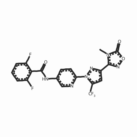 Cn1c(-c2cc(C(F)(F)F)n(-c3ccc(NC(=O)c4c(F)cccc4F)cn3)n2)noc1=O